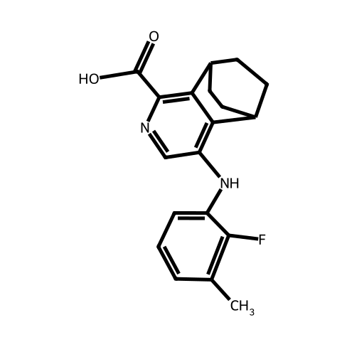 Cc1cccc(Nc2cnc(C(=O)O)c3c2C2CCC3CC2)c1F